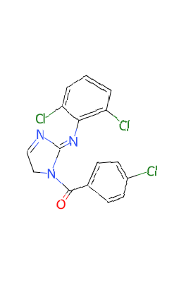 O=C(c1ccc(Cl)cc1)N1CC=NC1=Nc1c(Cl)cccc1Cl